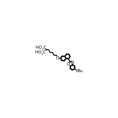 CC(C)(C)c1ccc2oc(-c3cccc4cc(OCCCCCC(C(=O)O)C(=O)O)ccc34)nc2c1